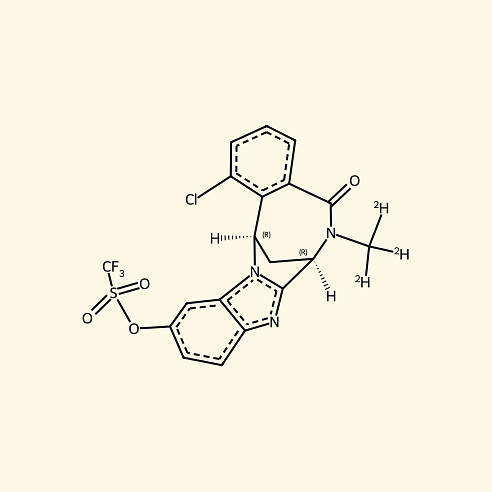 [2H]C([2H])([2H])N1C(=O)c2cccc(Cl)c2[C@H]2C[C@@H]1c1nc3ccc(OS(=O)(=O)C(F)(F)F)cc3n12